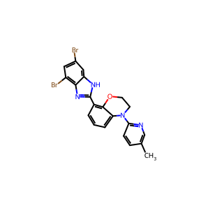 Cc1ccc(N2CCOc3c(-c4nc5c(Br)cc(Br)cc5[nH]4)cccc32)nc1